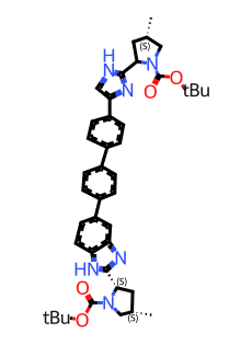 C[C@H]1CC(c2nc(-c3ccc(-c4ccc(-c5ccc6[nH]c([C@@H]7C[C@H](C)CN7C(=O)OC(C)(C)C)nc6c5)cc4)cc3)c[nH]2)N(C(=O)OC(C)(C)C)C1